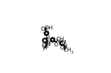 Cc1nc2ncc(N(C)C(=O)c3cccc(-n4nc(C(F)(F)F)c5c4C(Oc4ccc(C(=O)O)cc4)CCC5)c3)cc2o1